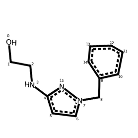 OCCNc1ccn(Cc2ccccc2)n1